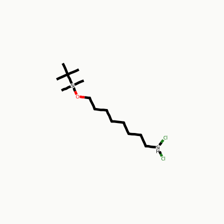 CC(C)(C)[Si](C)(C)OCCCCCCCC[SiH](Cl)Cl